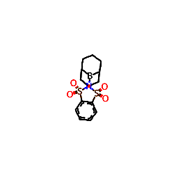 O=S1(=O)c2ccccc2S(=O)(=O)N1B1C2CCCC1CCC2